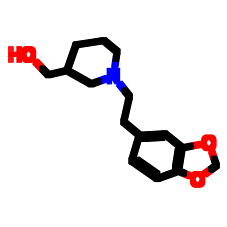 OCC1CCCN(CCc2ccc3c(c2)OCO3)C1